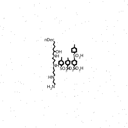 CCCCCCCCCCCCCCC(O)CNCCCNCCCCNCCCN.Cc1ccc(S(=O)(=O)O)cc1.Cc1ccc(S(=O)(=O)O)cc1.Cc1ccc(S(=O)(=O)O)cc1.Cc1ccc(S(=O)(=O)O)cc1